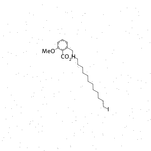 COc1cccc(CCCCCCCCCCCCCCI)c1C(=O)O